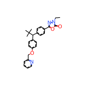 CCn1nc(-c2ccc(C(c3ccc(OCc4ccccn4)cc3)C(C)(C)C)cc2)oc1=O